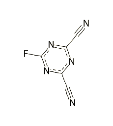 N#Cc1nc(F)nc(C#N)n1